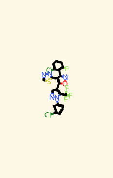 Fc1cccc(Cl)c1-c1noc(-c2cnn(-c3cccc(Cl)c3)c2C(F)(F)F)c1-c1nncs1